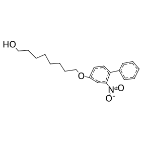 O=[N+]([O-])c1cc(OCCCCCCCCO)ccc1-c1ccccc1